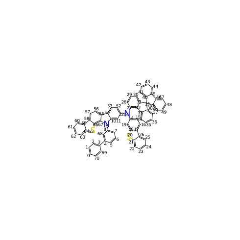 c1ccc(-c2cccc(-n3c4cc(N(c5ccc6c(c5)sc5ccccc56)c5cccc6c5-c5ccccc5C65c6ccccc6-c6ccccc65)ccc4c4ccc5c6ccccc6sc5c43)c2)cc1